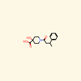 CC(CC(=O)N1CCC(O)(C(=O)O)CC1)c1ccccc1